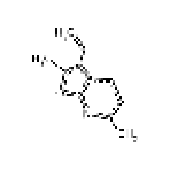 C=Cc1c(C)oc2nc(C)ccc12